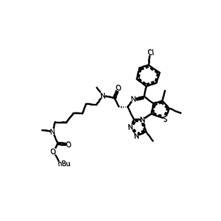 CCCCOC(=O)N(C)CCCCCCN(C)C(=O)C[C@@H]1N=C(c2ccc(Cl)cc2)c2c(sc(C)c2C)-n2c(C)nnc21